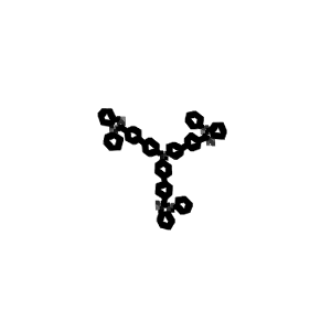 c1ccc(-n2c(-c3ccc(-c4ccc(N(c5ccc(-c6ccc(-c7nc8ccccc8n7-c7ccccc7)cc6)cc5)c5ccc(-c6ccc(-c7nc8ccccc8n7-c7ccccc7)cc6)cc5)cc4)cc3)nc3ccccc32)cc1